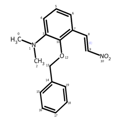 CN(C)c1cccc(/C=C/[N+](=O)[O-])c1OCc1ccccc1